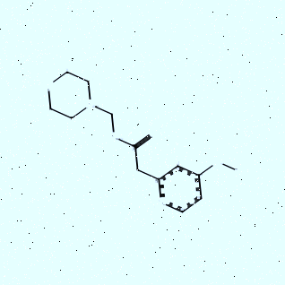 CCOc1ccnc(CC(=S)NCN2CCOCC2)c1